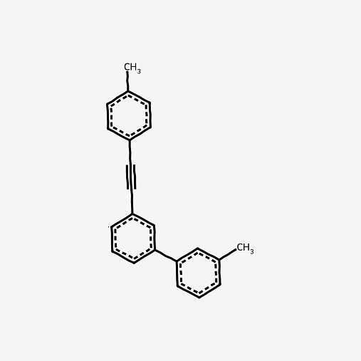 Cc1ccc(C#Cc2[c]ccc(-c3cccc(C)c3)c2)cc1